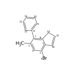 Cc1cc(Br)c2c(c1-c1ccccc1)CC=C2